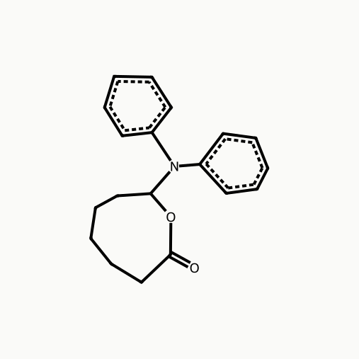 O=C1CCCCCC(N(c2ccccc2)c2ccccc2)O1